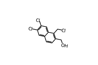 OCc1ccc2cc(Cl)c(Cl)cc2c1CCl